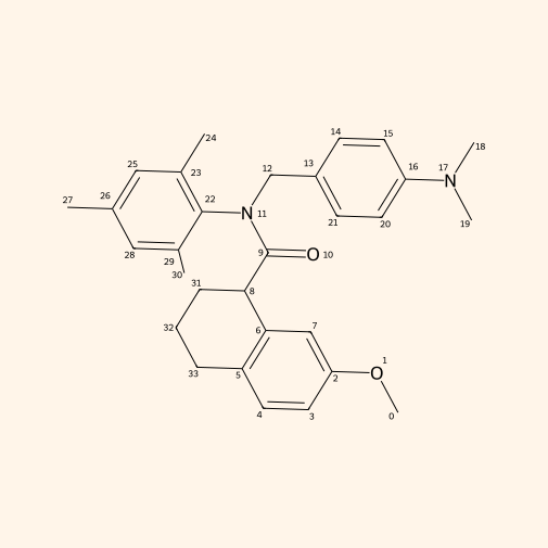 COc1ccc2c(c1)C(C(=O)N(Cc1ccc(N(C)C)cc1)c1c(C)cc(C)cc1C)CCC2